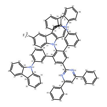 FC(F)(F)c1ccc2c(c1)c1cc(C(F)(F)F)ccc1n2-c1c(-c2cccc(-n3c4ccccc4c4ccccc43)c2)cc(-c2nc(-c3ccccc3)cc(-c3ccccc3)n2)cc1-c1cccc(-n2c3ccccc3c3ccccc32)c1